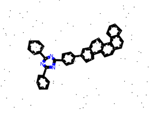 c1ccc(-c2nc(-c3ccccc3)nc(-c3ccc(-c4ccc5c(ccc6c5ccc5ccc7ccccc7c56)c4)cc3)n2)cc1